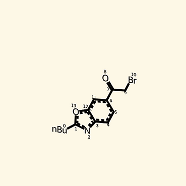 CCCCc1nc2ccc(C(=O)CBr)cc2o1